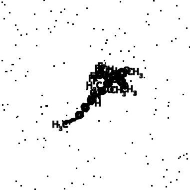 CCCCC[C@H]1CC[C@H](c2ccc(-c3ccc(C(=O)Nc4ccc(-c5cc6c7c(c8c(c6cc5OC)OC(c5ccc(OC)cc5)(c5ccc(OC)cc5)C=C8)C(C)(C)c5c-7cc(C(F)(F)F)cc5C(F)(F)F)c(C)c4)cc3)cc2)CC1